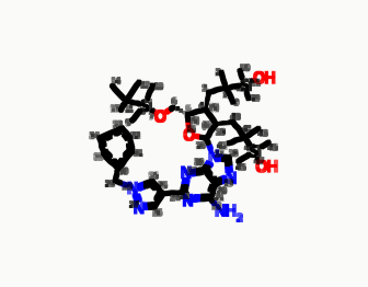 CC(C)(C[C@@H]1[C@@H](CO[Si](C)(C)C(C)(C)C)OC(n2cnc3c(N)nc(-c4cnn(Cc5ccccc5)c4)nc32)[C@@H]1CC(C)(C)[Si](C)(C)O)[Si](C)(C)O